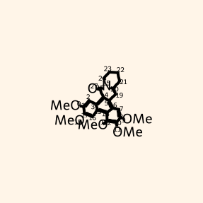 COc1cc2c3c(c4cc(OC)c(OC)c(OC)c4c2cc1OC)CC1CCCCN1C3=O